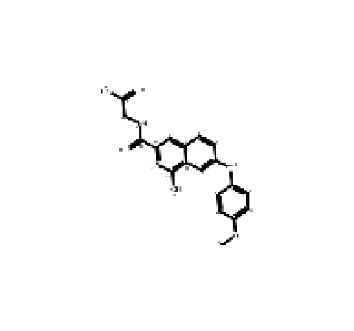 COc1ccc(Oc2ccc3cc(C(=O)NCC(=O)O)nc(O)c3c2)cc1